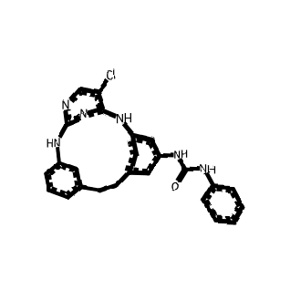 O=C(Nc1ccccc1)Nc1cc2cc(c1)Nc1nc(ncc1Cl)Nc1cccc(c1)CC2